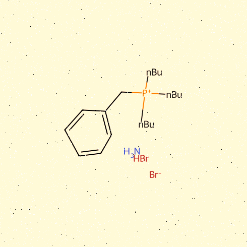 Br.CCCC[P+](CCCC)(CCCC)Cc1ccccc1.N.[Br-]